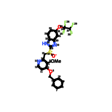 COc1c(OCc2ccccc2)ccnc1C[S+]([O-])c1nc2cc(OC(F)(F)C(F)F)ccc2[nH]1